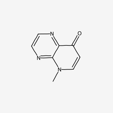 Cn1ccc(=O)c2nccnc21